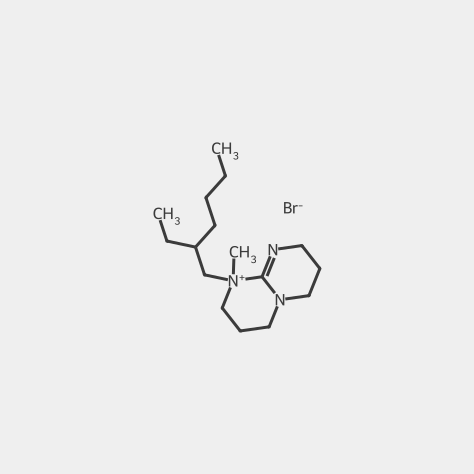 CCCCC(CC)C[N+]1(C)CCCN2CCCN=C21.[Br-]